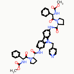 COC(=O)N[C@@H](C(=O)N1CCC[C@H]1C(=O)Nc1ccc2c3ccc(NC(=O)[C@@H]4CCCN4C(=O)[C@H](NC(=O)OC)c4ccccc4)cc3n(Cc3ccncc3)c2c1)c1ccccc1